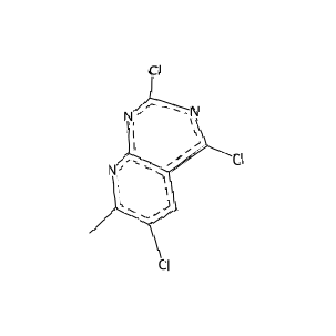 Cc1nc2nc(Cl)nc(Cl)c2cc1Cl